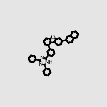 c1ccc(C2=NC(c3ccccc3)NC(c3cccc(-c4cccc5oc6cc(-c7ccc8ccccc8c7)ccc6c45)c3)=N2)cc1